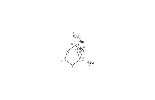 CC(C)(C)[C@@H]1O[C@@]2(C(C)(C)C)COC1[C@H]2C(C)(C)C